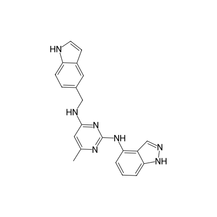 Cc1cc(NCc2ccc3[nH]ccc3c2)nc(Nc2cccc3[nH]ncc23)n1